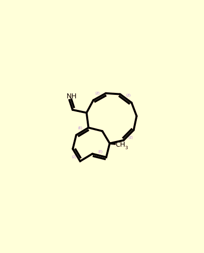 CC12/C=C\C/C=C\C=C/C(C=N)/C(=C/C=C\C=C\1)C2